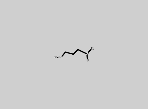 CCCCCCCC[S+](CC)CC